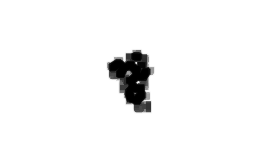 Oc1ccc(C2Nc3occc3-c3ncnn4ccc2c34)c(F)c1